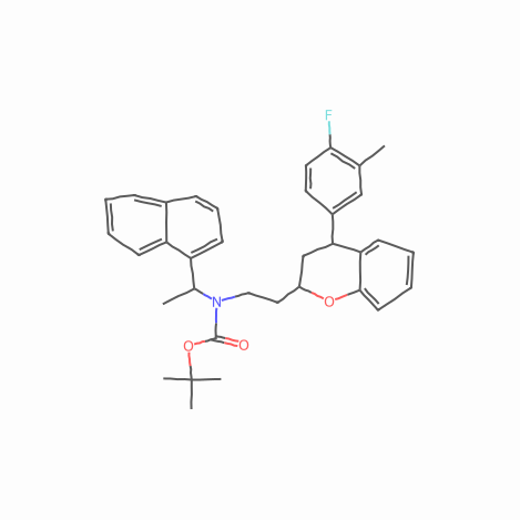 Cc1cc(C2CC(CCN(C(=O)OC(C)(C)C)C(C)c3cccc4ccccc34)Oc3ccccc32)ccc1F